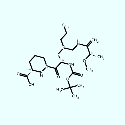 C=C(NCN(CCC)C[C@H](NC(=O)OC(C)(C)C)C(=O)N1CCC[C@@H](C(=O)O)N1)[C@H](C)OC